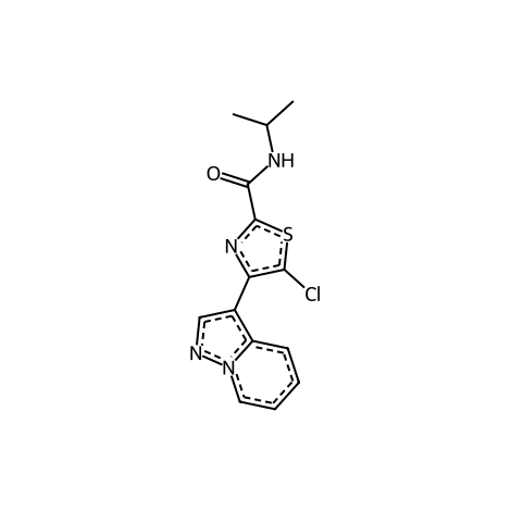 CC(C)NC(=O)c1nc(-c2cnn3ccccc23)c(Cl)s1